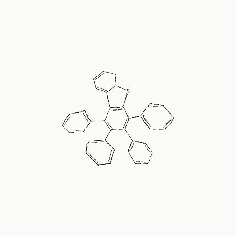 C1=CCC2Sc3c(c(-c4ccccc4)c(-c4ccccc4)c(-c4ccccc4)c3-c3ccccc3)C2=C1